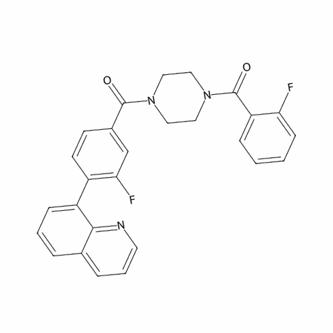 O=C(c1ccc(-c2cccc3cccnc23)c(F)c1)N1CCN(C(=O)c2ccccc2F)CC1